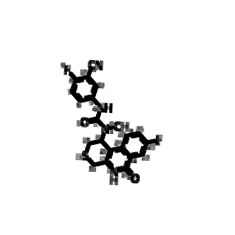 CN(C(=O)Nc1ccc(F)c(C#N)c1)C1CSCc2[nH]c(=O)c3cc(F)ccc3c21